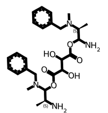 C[C@H](N)C(OC(=O)C(O)C(O)C(=O)OC(N)[C@H](C)N(C)Cc1ccccc1)N(C)Cc1ccccc1